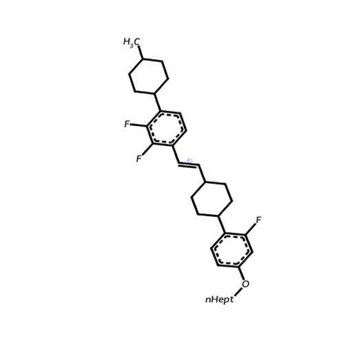 CCCCCCCOc1ccc(C2CCC(/C=C/c3ccc(C4CCC(C)CC4)c(F)c3F)CC2)c(F)c1